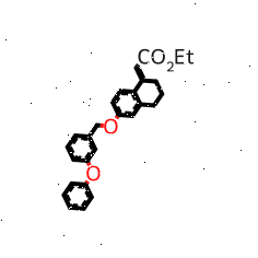 CCOC(=O)/C=C1\CCCc2cc(OCc3cccc(Oc4ccccc4)c3)ccc21